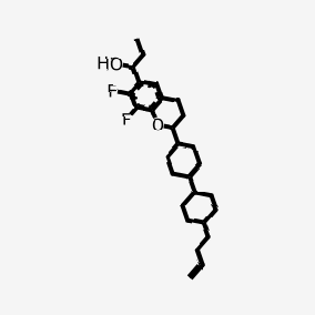 C=CCCC1CCC(C2CCC(C3CCc4cc(C(O)CC)c(F)c(F)c4O3)CC2)CC1